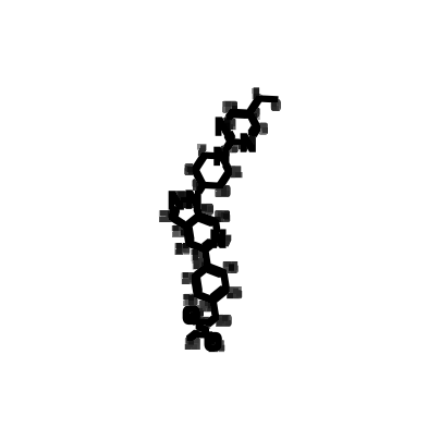 CCc1cnc(N2CCC(n3ncc4cc(-c5ccc(CS(C)(=O)=O)cc5)ncc43)CC2)nc1